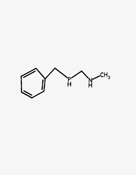 CNCPCc1ccccc1